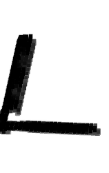 O.O.O.O.O.O.O.[AlH3].[AlH3].[AlH3].[AlH3].[AlH3].[AlH3].[AlH3].[AlH3].[AlH3].[AlH3].[AlH3].[AlH3].[AlH3].[AlH3].[AlH3].[AlH3].[AlH3].[AlH3].[AlH3].[AlH3].[AlH3].[AlH3].[AlH3].[AlH3].[AlH3].[AlH3].[AlH3].[AlH3].[AlH3].[AlH3].[AlH3].[AlH3].[AlH3].[AlH3].[AlH3].[AlH3]